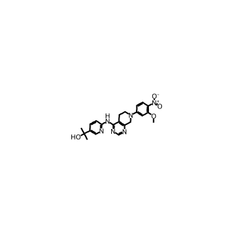 COc1cc(N2CCc3c(ncnc3Nc3ccc(C(C)(C)O)cn3)C2)ccc1[N+](=O)[O-]